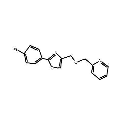 CCc1ccc(-c2nc(COCc3ccccn3)co2)cc1